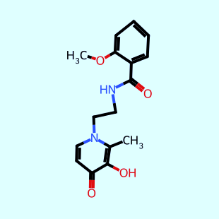 COc1ccccc1C(=O)NCCn1ccc(=O)c(O)c1C